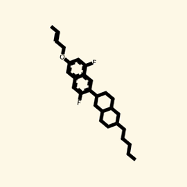 CC=CCOc1cc(F)c2cc(C3CCC4CC(CCCCC)CCC4C3)c(F)cc2c1